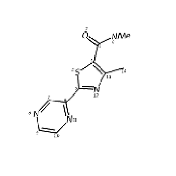 [CH2-][NH2+]C(=O)c1sc(-c2cnccn2)nc1C